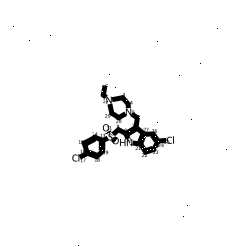 CCN1CCN(Cc2c(CS(=O)(=O)c3ccc(Cl)cc3)[nH]c3ccc(Cl)cc23)CC1